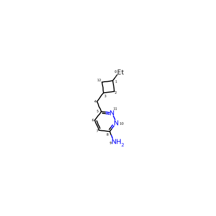 CCC1CC(Cc2ccc(N)nn2)C1